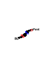 CCCCCOCCCc1cnc(-c2ccc(OC(=O)CCCCC(C)CC)cc2)nc1